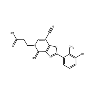 Cc1c(Br)cccc1-c1nc2c(=N)n(CCC(=O)O)cc(C#N)c2o1